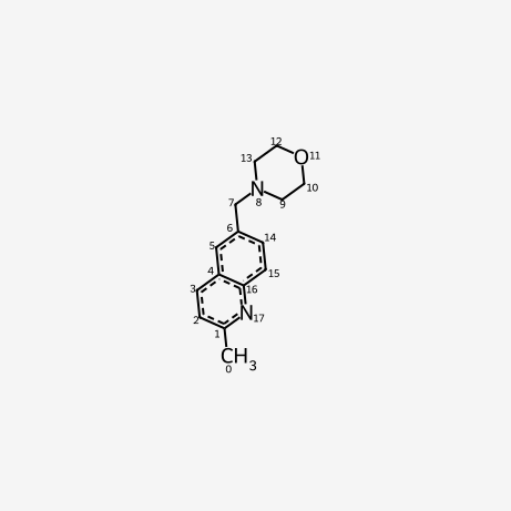 Cc1ccc2cc(CN3CCOCC3)ccc2n1